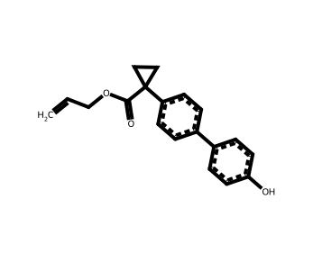 C=CCOC(=O)C1(c2ccc(-c3ccc(O)cc3)cc2)CC1